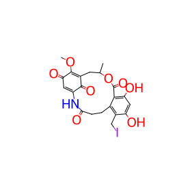 COC1=C2CC(C)OC(=O)c3c(O)cc(O)c(CI)c3CCC(=O)NC(=CC1=O)C2=O